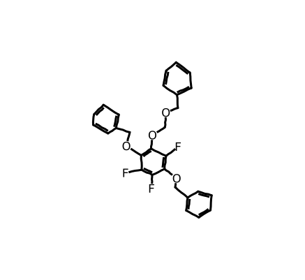 Fc1c(F)c(OCc2ccccc2)c(OCOCc2ccccc2)c(F)c1OCc1ccccc1